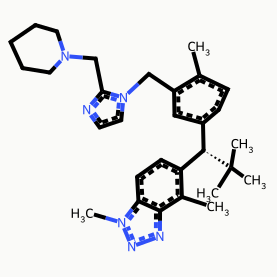 Cc1ccc([C@@H](c2ccc3c(nnn3C)c2C)C(C)(C)C)cc1Cn1ccnc1CN1CCCCC1